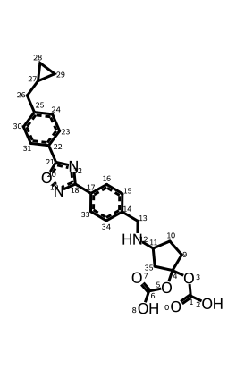 O=C(O)OC1(OC(=O)O)CCC(NCc2ccc(-c3noc(-c4ccc(CC5CC5)cc4)n3)cc2)C1